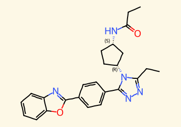 CCC(=O)N[C@H]1CC[C@@H](n2c(CC)nnc2-c2ccc(-c3nc4ccccc4o3)cc2)C1